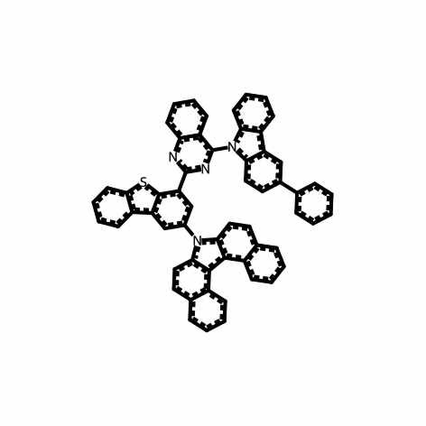 c1ccc(-c2ccc3c(c2)c2ccccc2n3-c2nc(-c3cc(-n4c5ccc6ccccc6c5c5c6ccccc6ccc54)cc4c3sc3ccccc34)nc3ccccc23)cc1